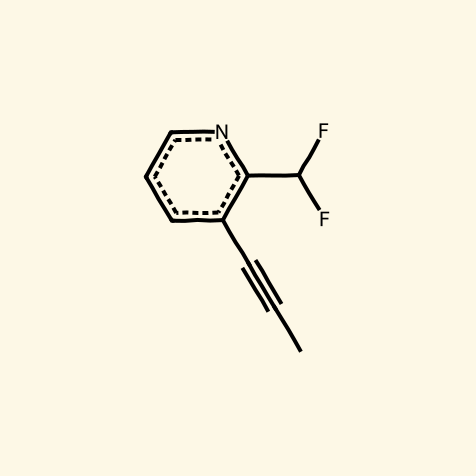 CC#Cc1cccnc1C(F)F